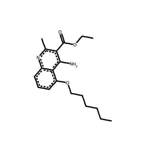 CCCCCCOc1cccc2nc(C)c(C(=O)OCC)c(N)c12